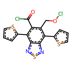 O=C(Cl)c1c(COCl)c(-c2cccs2)c2nsnc2c1-c1cccs1